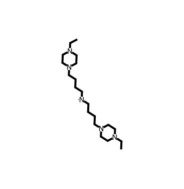 CCN1CCN(CCCC[N]CCCCN2CCN(CC)CC2)CC1